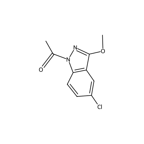 COc1nn(C(C)=O)c2ccc(Cl)cc12